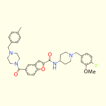 COc1cc(CN2CCC(NC(=O)c3cc4cc(C(=O)N5CCN(Cc6ccc(C)cc6)CC5)ccc4o3)CC2)ccc1F